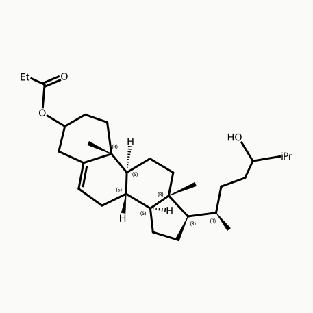 CCC(=O)OC1CC[C@@]2(C)C(=CC[C@H]3[C@@H]4CC[C@H]([C@H](C)CCC(O)C(C)C)[C@@]4(C)CC[C@@H]32)C1